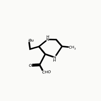 CCC(C)CC1NCC(C)NC1C(=O)C=O